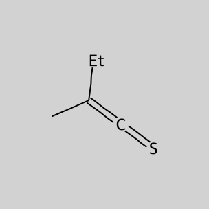 CCC(C)=C=S